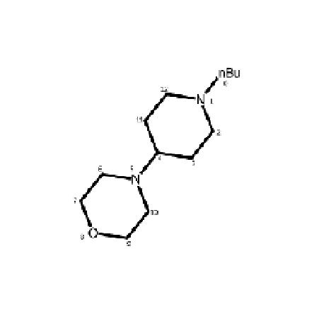 CCCCN1CCC(N2CCOCC2)CC1